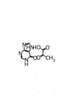 CC(=O)C(=O)O.O=c1[nH]cnc2nc[nH]c12